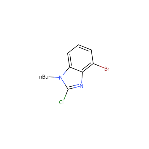 CCCCn1c(Cl)nc2c(Br)cccc21